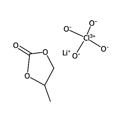 CC1COC(=O)O1.[Li+].[O-][Cl+3]([O-])([O-])[O-]